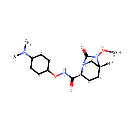 CN(C)C1CCC(ONC(=O)[C@@H]2CC[C@@H]3CN2C(=O)N3OS(=O)(=O)O)CC1